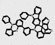 c1ccc(N2c3ccccc3Sc3c(-c4cccc(N5c6ccccc6C6(c7cc8c9ccccc9n(-c9ccccc9)c8cc75)c5ccsc5-c5sccc56)c4)cccc32)cc1